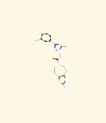 CCCc1nc(-c2ccc(F)c(C)c2)nn1CC(=O)N1CCc2nc(N)sc2CC1